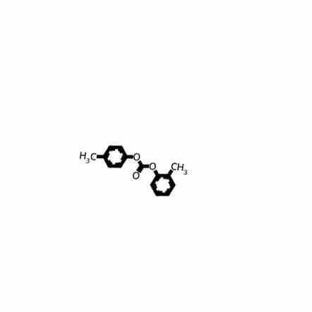 Cc1ccc(OC(=O)Oc2ccccc2C)cc1